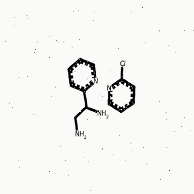 Clc1ccccn1.NCC(N)c1ccccn1